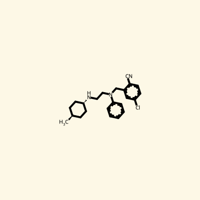 C[C@H]1CC[C@H](NCCN(Cc2cc(Cl)ccc2C#N)c2ccccc2)CC1